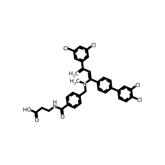 C=C(/C=C(/c1ccc(-c2ccc(Cl)c(Cl)c2)cc1)N(C)Cc1ccc(C(=O)NCCC(=O)O)cc1)c1cc(Cl)cc(Cl)c1